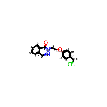 O=c1c2ccccc2cnn1CCOc1ccc(CCl)cc1